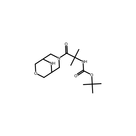 CC(C)(C)OC(=O)NC(C)(C)C(=O)N1CC2COCC(C1)N2